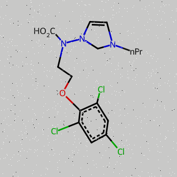 CCCN1C=CN(N(CCOc2c(Cl)cc(Cl)cc2Cl)C(=O)O)C1